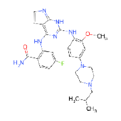 COc1cc(N2CCN(CC(C)C)CC2)ccc1Nc1nc(Nc2cc(F)ccc2C(N)=O)c2ccnc-2[nH]1